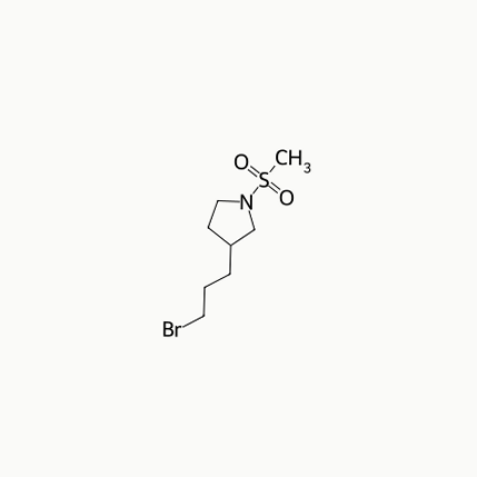 CS(=O)(=O)N1CCC(CCCBr)C1